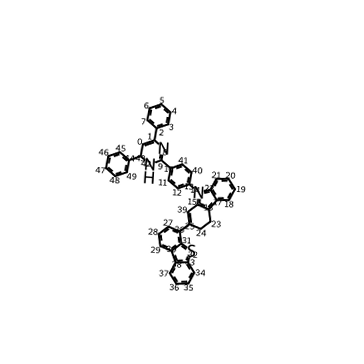 C1=C(c2ccccc2)N=C(c2ccc(-n3c4c(c5ccccc53)CCC(c3cccc5c3sc3ccccc35)=C4)cc2)NC1c1ccccc1